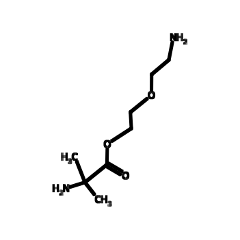 CC(C)(N)C(=O)OCCOCCN